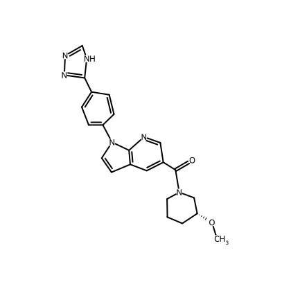 CO[C@@H]1CCCN(C(=O)c2cnc3c(ccn3-c3ccc(-c4nnc[nH]4)cc3)c2)C1